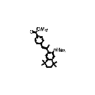 CCCCCCc1cc2c(cc1/C(C)=C/c1ccc(C(=O)OC)cc1)C(C)(C)CCC2(C)C